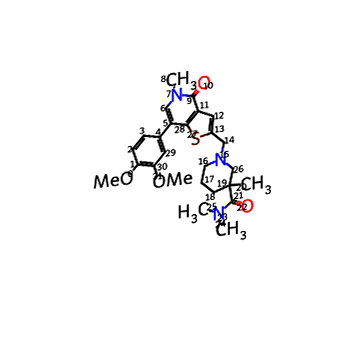 COc1ccc(-c2cn(C)c(=O)c3cc(CN4CCCC(C)(C(=O)N(C)C)C4)sc23)cc1OC